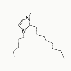 CCCCCCCCC1N(C)C=CN1CCCCC